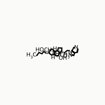 CCCCC(C)(O)C[C@@H]1CC[C@@H]2[C@@H](C1)C[C@@H](O)[C@]1(C)[C@@H](C(=O)Cn3ncc4ccncc43)CC[C@@H]21